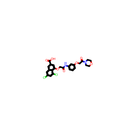 O=C(COc1cc(C(=O)O)cc2cc(Cl)cc(Cl)c12)Nc1cccc(OCC(=O)N2CCOCC2)c1